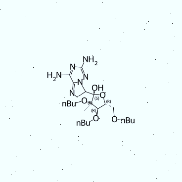 CCCCOC[C@H]1O[C@@](O)(C2CN=C3C(N)=NC(N)=NN32)[C@](C)(OCCCC)[C@@H]1OCCCC